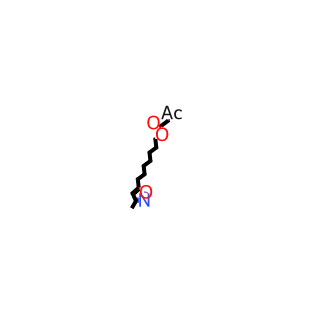 CC(=O)CC(=O)OCCCCCCCc1cc(C)no1